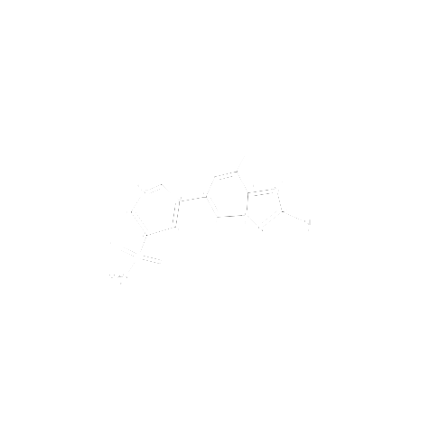 CNS(=O)(=O)c1cncc(-c2cc(F)c3nc(N)nn3c2)c1